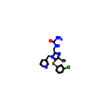 CC(C)c1nc(CNC(N)=O)n(Cc2cccnc2)c1Sc1cccc(Cl)c1